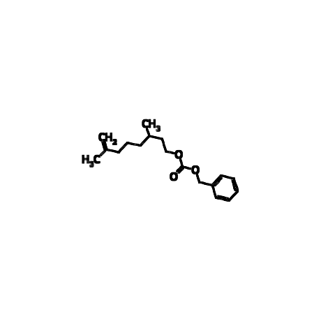 C=C(C)CCCC(C)CCOC(=O)OCc1ccccc1